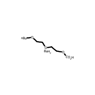 CCCCOCCOCCOC(=O)O.[BaH2]